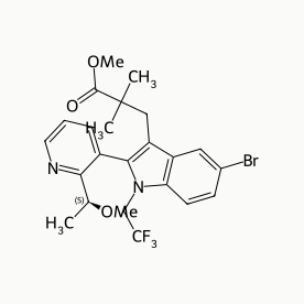 COC(=O)C(C)(C)Cc1c(-c2cccnc2[C@H](C)OC)n(CC(F)(F)F)c2ccc(Br)cc12